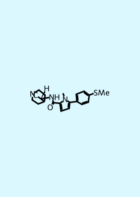 CSc1ccc(-c2ccc(C(=O)N[C@H]3CN4CCC3CC4)n2C)cc1